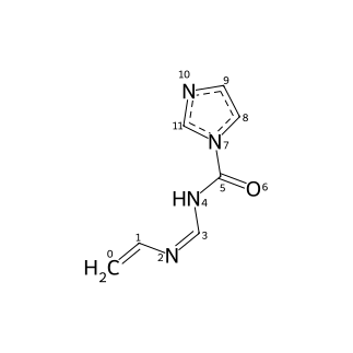 C=C/N=C\NC(=O)n1ccnc1